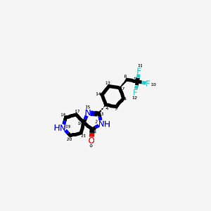 O=C1NC([C@H]2CC[C@H](CC(F)(F)F)CC2)=NC12CCNCC2